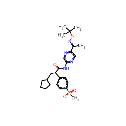 CC(=NOC(C)(C)C)c1cnc(NC(=O)[C@H](CC2CCCC2)c2ccc(S(C)(=O)=O)cc2)cn1